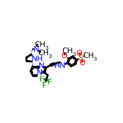 COc1cc(S(C)(=O)=O)ccc1NCC#Cc1nc2c([C@@H]3CC[C@H](CN(C)C)N3)cccn2c1CC(F)(F)F